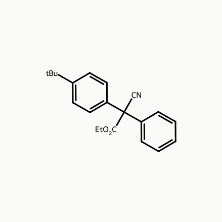 CCOC(=O)C(C#N)(c1ccccc1)c1ccc(C(C)(C)C)cc1